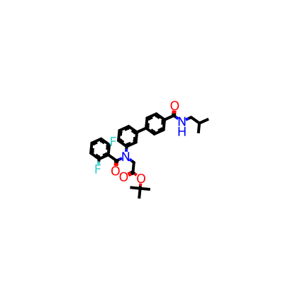 CC(C)CNC(=O)c1ccc(-c2cccc(N(CC(=O)OC(C)(C)C)C(=O)c3c(F)cccc3F)c2)cc1